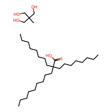 CC(CO)(CO)CO.CCCCCCCCCC(CCCCCCCC)(CCCCCCCC)C(O)=S